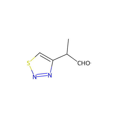 CC([C]=O)c1csnn1